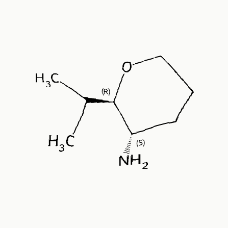 CC(C)[C@H]1OCCC[C@@H]1N